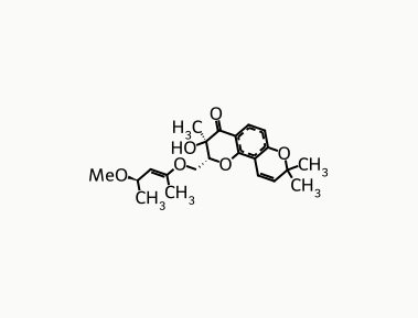 CO[C@H](C)/C=C(\C)OC[C@H]1Oc2c(ccc3c2C=CC(C)(C)O3)C(=O)[C@]1(C)O